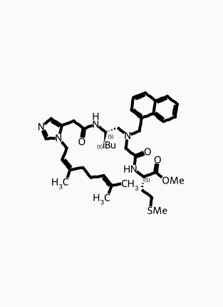 CC[C@H](C)[C@@H](CN(CC(=O)N[C@@H](CCSC)C(=O)OC)Cc1cccc2ccccc12)NC(=O)Cc1cncn1CC=C(C)CCC=C(C)C